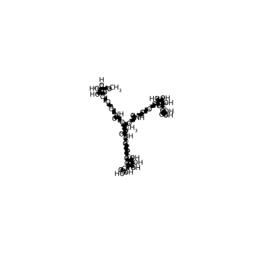 COCC1OC(OCCOCCOCCNC(=O)CCOCC(C)(COCCC(=O)NCCOCCOCCOC2OC(COP(=O)(O)O)C(O)C(O)C2O)COC(=O)NCCOCCOCCOC2OC(COP(=O)(O)O)C(O)C(O)C2O)C(O)C(O)C1O